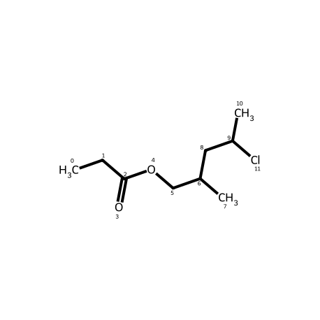 CCC(=O)OCC(C)CC(C)Cl